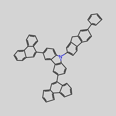 c1ccc(-c2ccc3c(c2)Cc2cc(-n4c5ccc(-c6cc7ccccc7c7ccccc67)cc5c5cc(-c6cc7ccccc7c7ccccc67)ccc54)ccc2-3)cc1